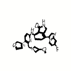 COC1CN(Cc2nc(Nc3ccc(-c4cnc5cc(F)ccn45)c4c3C(=O)NC4)ccc2[C@@H]2CCOC2)C1